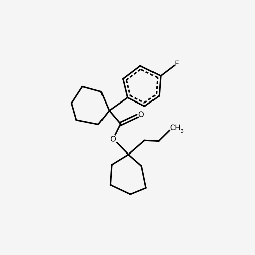 CCCC1(OC(=O)C2(c3ccc(F)cc3)CCCCC2)CCCCC1